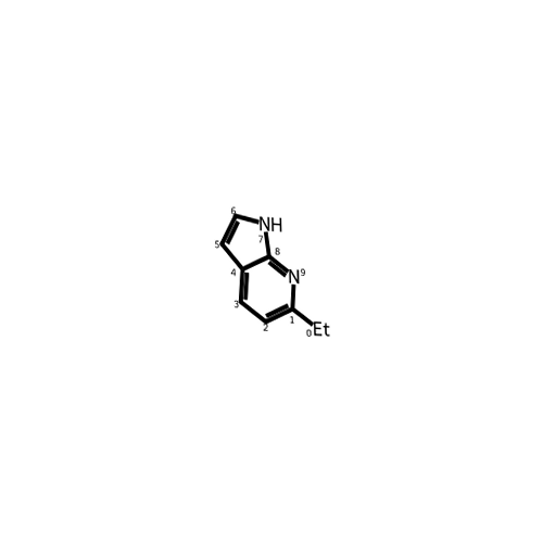 CCc1ccc2cc[nH]c2n1